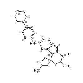 CCCC1(CC)CN(C)C(=O)c2cc3cnc(Nc4ccc(N5CCNCC5)cn4)nc3n21